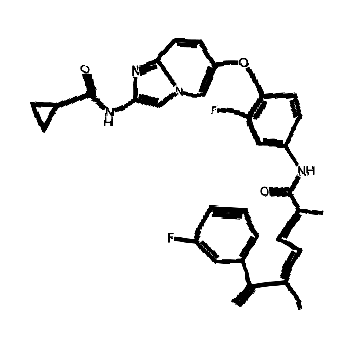 C=C(/C(C)=C\C=C(/C)C(=O)Nc1ccc(Oc2ccc3nc(NC(=O)C4CC4)cn3c2)c(F)c1)c1cccc(F)c1